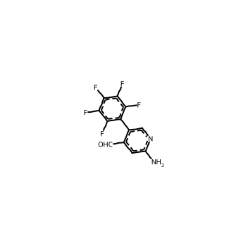 Nc1cc(C=O)c(-c2c(F)c(F)c(F)c(F)c2F)cn1